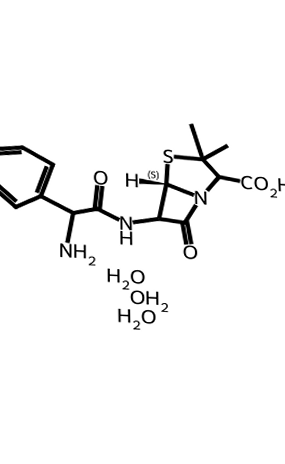 CC1(C)S[C@H]2C(NC(=O)C(N)c3ccccc3)C(=O)N2C1C(=O)O.O.O.O